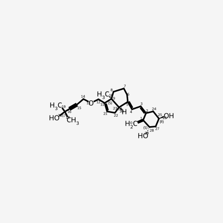 C=C1C(=CC=C2CCC[C@]3(C)C(COCC#CC(C)(C)O)=CC[C@@H]23)C[C@@H](O)C[C@@H]1O